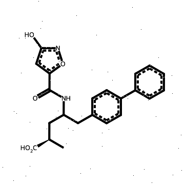 C[C@H](CC(Cc1ccc(-c2ccccc2)cc1)NC(=O)c1cc(O)no1)C(=O)O